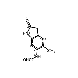 Cc1cc2c(cc1NC=O)NC(=O)C2